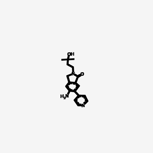 CC(C)(O)CCN1Cc2cc(N)c(-c3ccncc3)cc2C1=O